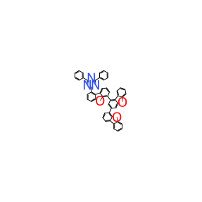 c1ccc(-c2nc(-c3ccccc3)nc(-c3cccc4oc5c(-c6cc(-c7cccc8c7oc7ccccc78)cc7oc8ccccc8c67)cccc5c34)n2)cc1